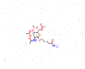 CC(=O)NC1C(OC(C)=O)[C@@H](OC(C)=O)C(COC(C)=O)O[C@H]1OCCCCC(N)=O